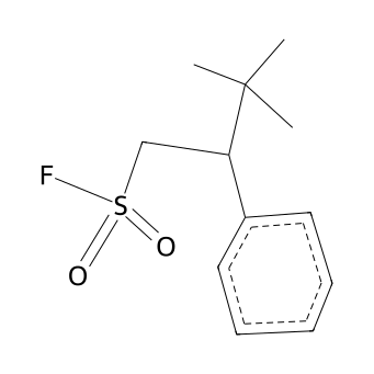 CC(C)(C)C(CS(=O)(=O)F)c1ccccc1